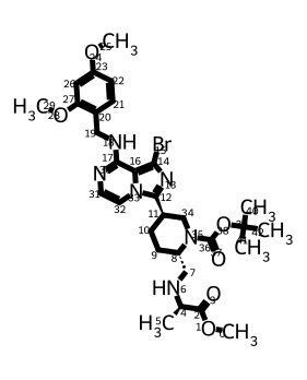 COC(=O)[C@@H](C)NC[C@@H]1CC[C@@H](c2nc(Br)c3c(NCc4ccc(OC)cc4OC)nccn23)CN1C(=O)OC(C)(C)C